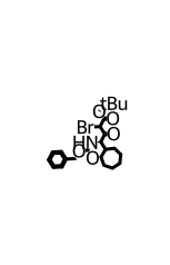 CC(C)(C)OC(=O)C(Br)C(=O)[C@@H](NC(=O)OCc1ccccc1)C1CCCCCC1